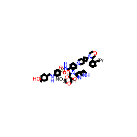 CC(C)c1ccccc1[C@@H]1COCCN1C1CC2(CCN(c3ccc(C(=O)NS(=O)(=O)c4ccc(NCC5CCC(C)(O)CC5)c([N+](=O)[O-])c4)c(N4C[C@H]5OCCOC[C@@H]5Oc5nc6[nH]ccc6cc54)c3)CC2)C1